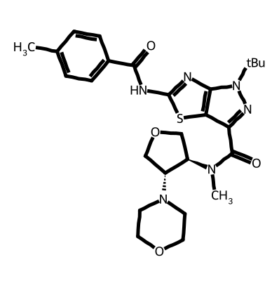 Cc1ccc(C(=O)Nc2nc3c(s2)c(C(=O)N(C)[C@@H]2COC[C@H]2N2CCOCC2)nn3C(C)(C)C)cc1